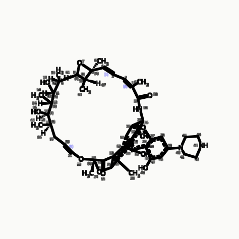 C/C1=C/C=C/[C@]2(C)O[C@H]([C@@H](C)[C@@H](O)[C@@H](C)[C@H](O)[C@H](C)C/C=C/O[C@@]3(C)Oc4c(C)c(O)c5c(=O)c(c6oc7cc(N8CCNCC8)cc(O)c7nc-6c5c4C3=O)NC1=O)[C@H]2C